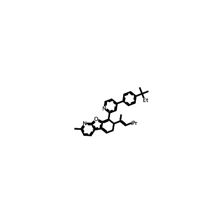 CCC(C)(C)c1ccc(-c2ccnc(C3=c4oc5nc(C)ccc5c4=CCC3/C(C)=C/C(C)C)c2)cc1